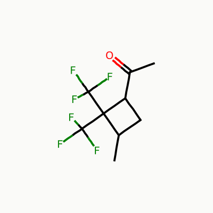 CC(=O)C1CC(C)C1(C(F)(F)F)C(F)(F)F